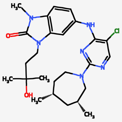 C[C@@H]1CCN(c2ncc(Cl)c(Nc3ccc4c(c3)n(CCC(C)(C)O)c(=O)n4C)n2)C[C@H](C)C1